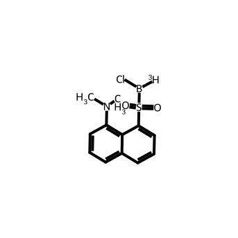 [3H]B(Cl)S(=O)(=O)c1cccc2cccc(N(C)C)c12